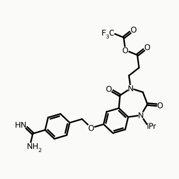 CC(C)N1C(=O)CN(CCC(=O)OC(=O)C(F)(F)F)C(=O)c2cc(OCc3ccc(C(=N)N)cc3)ccc21